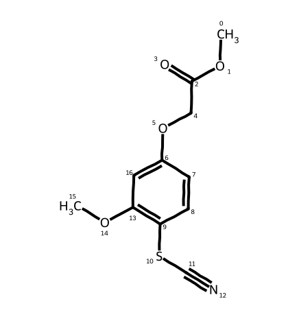 COC(=O)COc1ccc(SC#N)c(OC)c1